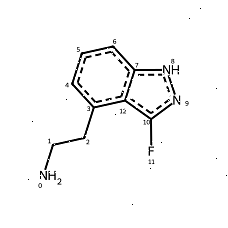 NCCc1cccc2[nH]nc(F)c12